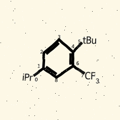 CC(C)c1ccc(C(C)(C)C)c(C(F)(F)F)c1